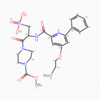 CCCCOC(=O)N1CCN(C(=O)C(CP(=O)(O)O)NC(=O)c2cc(OCCOC)cc(-c3ccccc3)n2)CC1